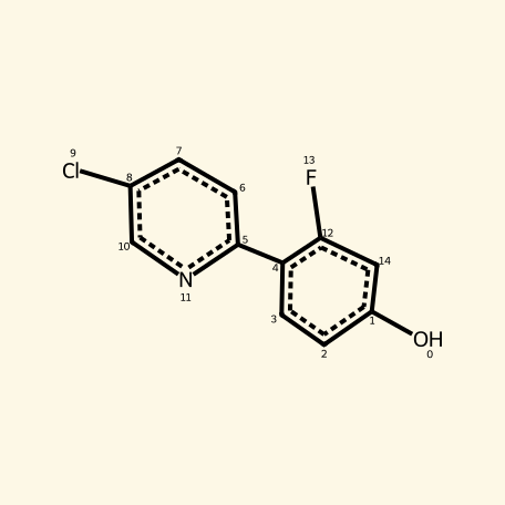 Oc1ccc(-c2ccc(Cl)cn2)c(F)c1